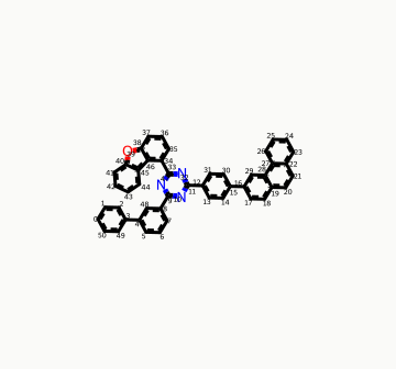 c1ccc(-c2cccc(-c3nc(-c4ccc(-c5ccc6ccc7ccccc7c6c5)cc4)nc(-c4cccc5oc6ccccc6c45)n3)c2)cc1